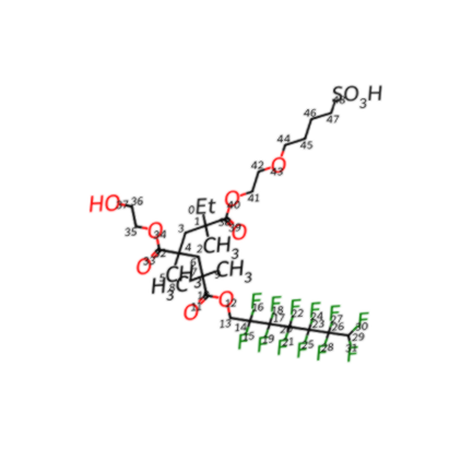 CCC(C)(CC(C)(CC(C)(C)C(=O)OCC(F)(F)C(F)(F)C(F)(F)C(F)(F)C(F)(F)C(F)F)C(=O)OCCO)C(=O)OCCOCCCCS(=O)(=O)O